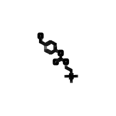 CS(C)(C)CCOC(=O)Oc1ccc(C=O)cc1